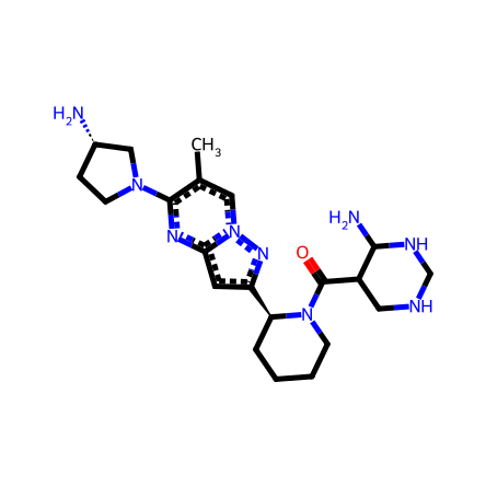 Cc1cn2nc([C@@H]3CCCCN3C(=O)C3CNCNC3N)cc2nc1N1CC[C@H](N)C1